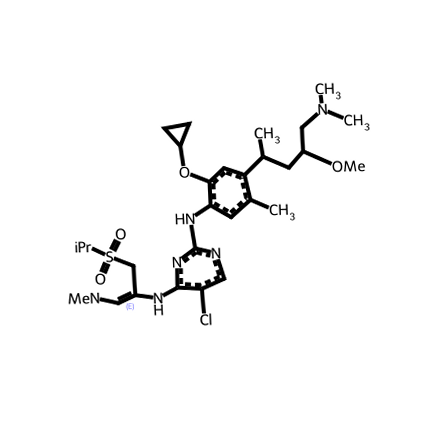 CN/C=C(\CS(=O)(=O)C(C)C)Nc1nc(Nc2cc(C)c(C(C)CC(CN(C)C)OC)cc2OC2CC2)ncc1Cl